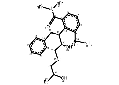 CCCN(CCC)C(=O)c1cccc(C(N)=O)c1[C@H](Cc1ccccc1)[C@@H](O)CNCC(O)CC